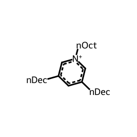 CCCCCCCCCCc1cc(CCCCCCCCCC)c[n+](CCCCCCCC)c1